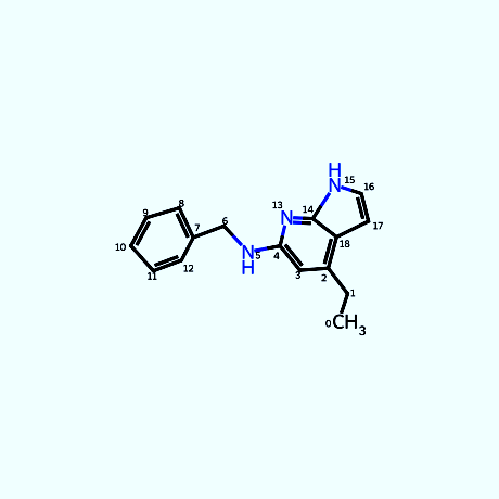 CCc1cc(NCc2ccccc2)nc2[nH]ccc12